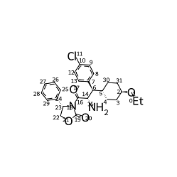 CCO[C@H]1CC[C@H]([C@H](c2ccc(Cl)cc2)[C@H](N)C(=O)N2C(=O)OC[C@@H]2c2ccccc2)CC1